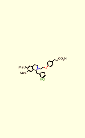 COc1cc2c(cc1OC)C(Cc1ccccc1)N(CCOc1ccc(CCC(=O)O)cc1)CC2.Cl